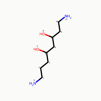 NCCCC(O)CC(O)CCN